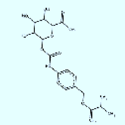 C=C(OCc1ccc(NC(=O)OC2OC(C(=O)O)C(O)C(O)C2O)cc1)C(C)C